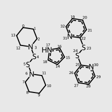 C1CCN(SSN2CCCCC2)CC1.c1cc[nH]c1.c1ccc(SSc2ccccn2)nc1